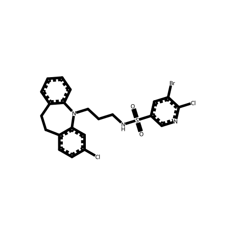 O=S(=O)(NCCCN1c2ccccc2CCc2ccc(Cl)cc21)c1cnc(Cl)c(Br)c1